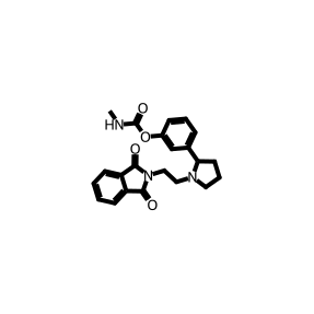 CNC(=O)Oc1cccc(C2CCCN2CCN2C(=O)c3ccccc3C2=O)c1